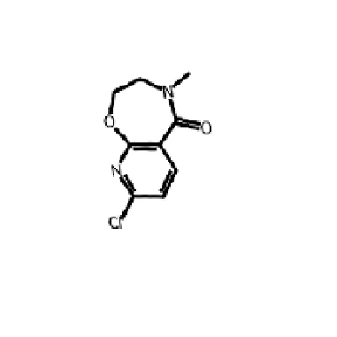 CN1CCOc2nc(Cl)ccc2C1=O